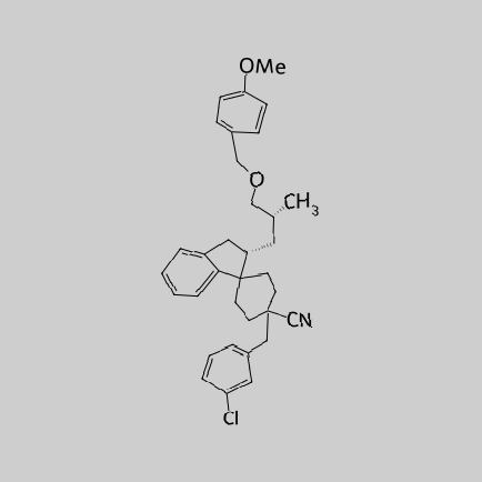 COc1ccc(COC[C@H](C)C[C@H]2Cc3ccccc3C23CCC(C#N)(Cc2cccc(Cl)c2)CC3)cc1